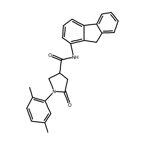 Cc1ccc(C)c(N2CC(C(=O)Nc3cccc4c3Cc3ccccc3-4)CC2=O)c1